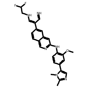 COc1cc(-c2cnc(C)n2C)ccc1Nc1cc2cc(/C(C=N)=C/NCC(F)F)ccc2cn1